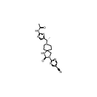 CC(=O)Nc1ncc([C@H](C)N2CCC3(CC2)CN(c2ncc(C#N)cn2)C(=O)N3)s1